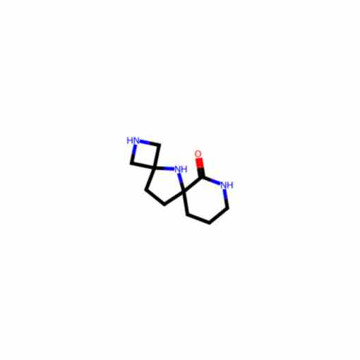 O=C1NCCCC12CCC1(CNC1)N2